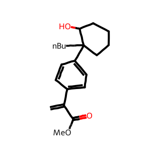 C=C(C(=O)OC)c1ccc(C2(CCCC)CCCCC2O)cc1